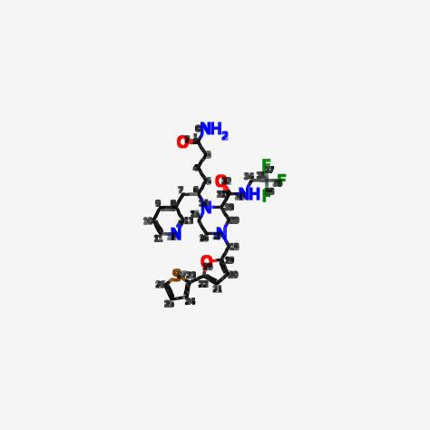 NC(=O)CCCC(Cc1cccnc1)N1CCN(Cc2ccc(-c3cccs3)o2)CC1C(=O)NCC(F)(F)F